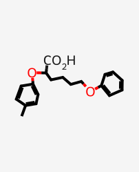 Cc1ccc(OC(CCCCOc2ccccc2)C(=O)O)cc1